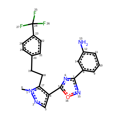 Cn1ncc(-c2nc(-c3cccc(N)c3)no2)c1CCc1ccc(C(F)(F)F)cc1